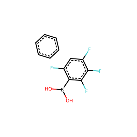 OB(O)c1c(F)cc(F)c(F)c1F.c1ccccc1